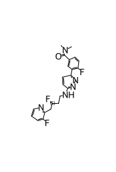 CN(C)C(=O)c1ccc(F)c(-c2ccc(NCC[C@H](F)Cc3ncccc3F)nn2)c1